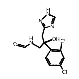 O=CNCC(O)(Cc1nc[nH]n1)c1ccc(Cl)cc1Cl